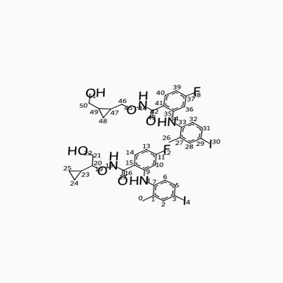 Cc1cc(I)ccc1Nc1cc(F)ccc1C(=O)NOC(CO)C1CC1.Cc1cc(I)ccc1Nc1cc(F)ccc1C(=O)NOCC1CC1CO